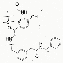 CC(C)(Cc1cccc(CC(=O)NCc2ccccc2)c1)NC[C@@H](O[Si](C)(C)C(C)(C)C)c1ccc(O)c(NC=O)c1